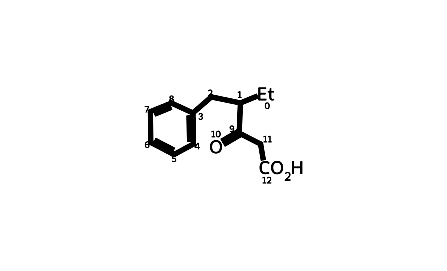 CCC(Cc1ccccc1)C(=O)CC(=O)O